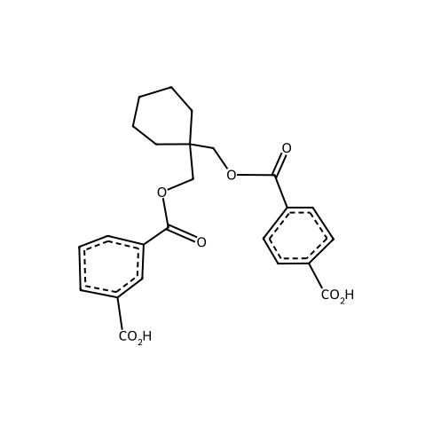 O=C(O)c1ccc(C(=O)OCC2(COC(=O)c3cccc(C(=O)O)c3)CCCCC2)cc1